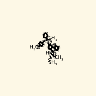 COC(=O)[C@H](CCSC)NC(=O)c1ccc(COC(C)C(OCc2ccc(OC)cc2)C2CCCCC2)cc1-c1ccccc1C